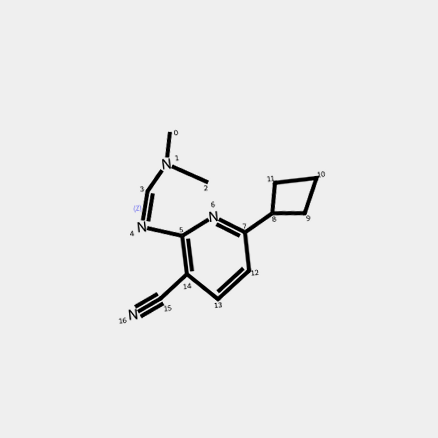 CN(C)/C=N\c1nc(C2CCC2)ccc1C#N